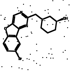 O[C@H]1CCCN(Cc2ncc3oc4ccc(Br)cc4c3n2)C1